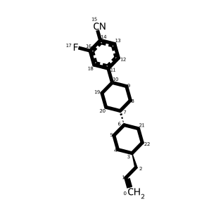 C=CC[C@H]1CC[C@H](C2CCC(c3ccc(C#N)c(F)c3)CC2)CC1